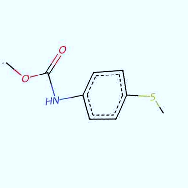 [CH2]OC(=O)Nc1ccc(SC)cc1